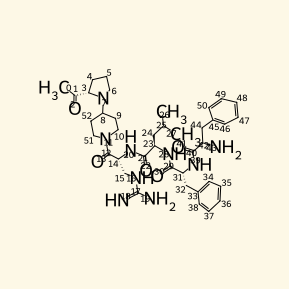 CC(=O)[C@@H]1CCCN1C1CCN(C(=O)[C@@H](CNC(=N)N)NC(=O)[C@@H](CC(C)C)NC(=O)[C@@H](Cc2ccccc2)NC(=O)[C@H](N)Cc2ccccc2)CC1